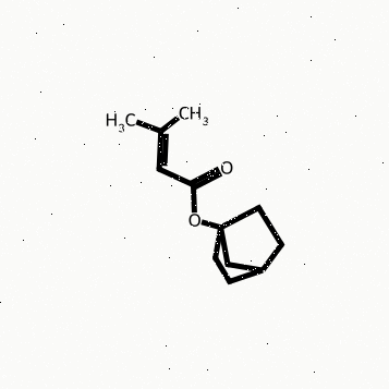 CC(C)=CC(=O)OC12CCC(CC1)C2